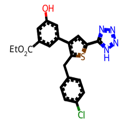 CCOC(=O)c1cc(O)cc(-c2cc(-c3nnn[nH]3)sc2Cc2ccc(Cl)cc2)c1